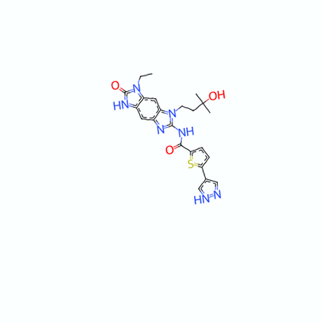 CCn1c(=O)[nH]c2cc3nc(NC(=O)c4ccc(-c5cn[nH]c5)s4)n(CCC(C)(C)O)c3cc21